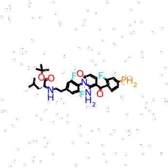 CC(C)C[C@@H](NCCc1cc(F)c(-n2c(N)c(C(=O)c3ccc(P)cc3F)ccc2=O)c(F)c1)C(=O)OC(C)(C)C